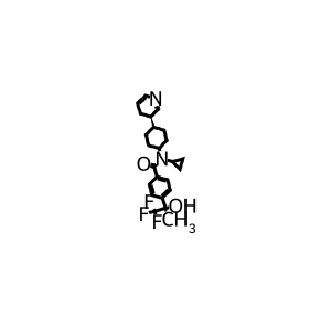 C[C@](O)(c1ccc(C(=O)N(C2CCC([C@@H]3C=NC=CC3)CC2)C2CC2)cc1)C(F)(F)F